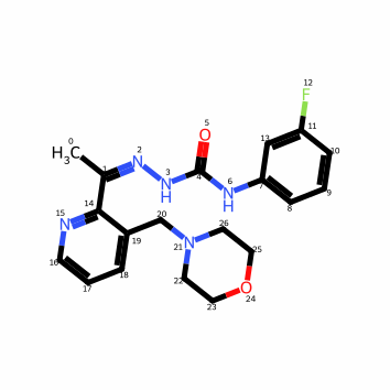 CC(=NNC(=O)Nc1cccc(F)c1)c1ncccc1CN1CCOCC1